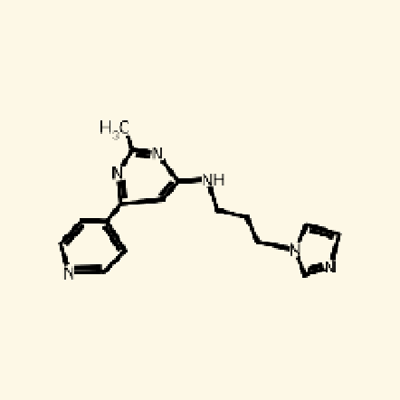 Cc1nc(NCCCn2ccnc2)cc(-c2ccncc2)n1